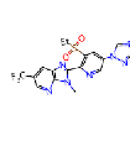 CCS(=O)(=O)c1cc(-n2cncn2)cnc1-c1nc2cc(C(F)(F)F)cnc2n1C